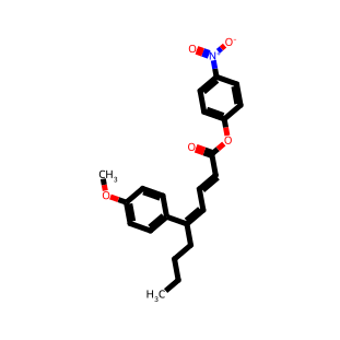 CCCC/C(=C/C=C/C(=O)Oc1ccc([N+](=O)[O-])cc1)c1ccc(OC)cc1